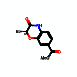 CC[C@@H]1Oc2cc(C(=O)OC)ccc2NC1=O